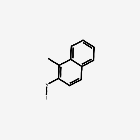 Cc1c(SI)ccc2ccccc12